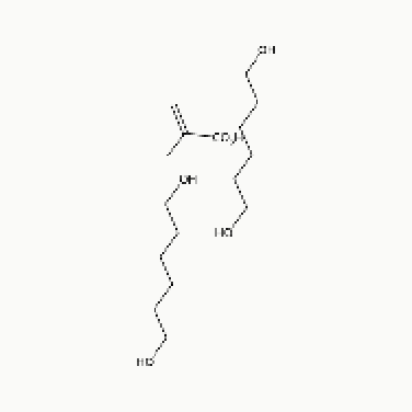 C=C(C)C(=O)O.OCCCCCCO.OCCCCCCO